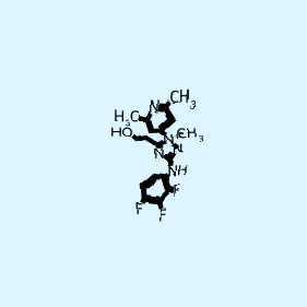 Cc1cc([N@+]2(C)N=C(Nc3ccc(F)c(F)c3F)N=C2CCO)cc(C)n1